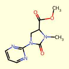 COC(=O)C1CN(c2ncccn2)C(=O)N1C